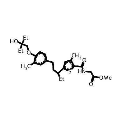 CCC(CCc1ccc(OCC(O)(CC)CC)c(C)c1)c1cc(C)c(C(=O)NCC(=O)OC)s1